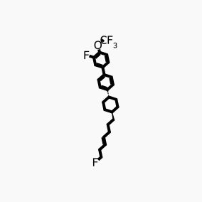 FCC/C=C/CCC[C@H]1CC[C@H](c2ccc(-c3ccc(OC(F)(F)F)c(F)c3)cc2)CC1